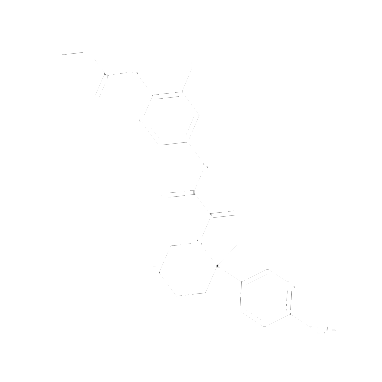 CCc1cc(NC(=O)C(=O)N2C[C@@H](C)CCC2(C)c2ccc(NC)nc2)cnc1NC(=O)OC(C)(C)C